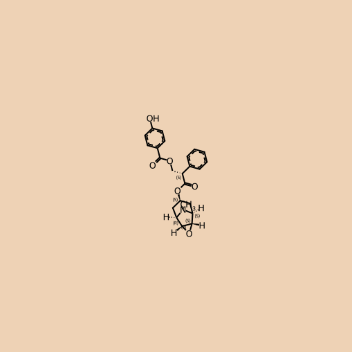 CN1[C@@H]2C[C@@H](OC(=O)[C@H](COC(=O)c3ccc(O)cc3)c3ccccc3)C[C@H]1[C@@H]1O[C@@H]12